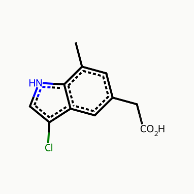 Cc1cc(CC(=O)O)cc2c(Cl)c[nH]c12